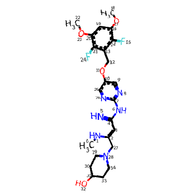 CN/C(=C\C(=N)Nc1ncc(OCc2c(F)c(OC)cc(OC)c2F)cn1)CN1CCC(O)CC1